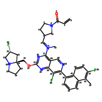 C=CC(=O)N1CCC(/C=[N+](\C)c2nc(OC[C@@]34CCCN3C[C@H](F)C4)nc3c(F)c(-c4cccc5c(C)c(F)ccc45)ncc23)C1